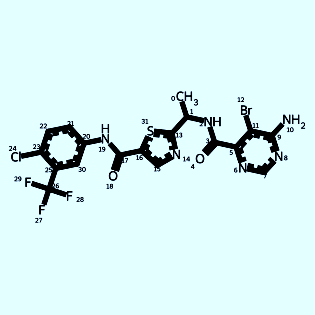 CC(NC(=O)c1ncnc(N)c1Br)c1ncc(C(=O)Nc2ccc(Cl)c(C(F)(F)F)c2)s1